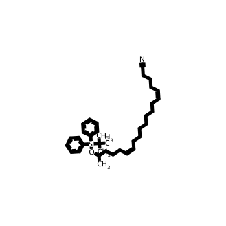 CC(CCC/C=C\CCCCCCC/C=C\CCCC#N)O[Si](c1ccccc1)(c1ccccc1)C(C)(C)C